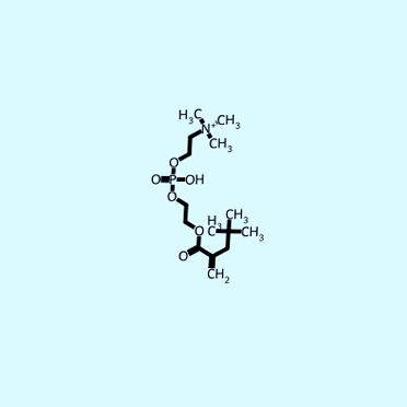 C=C(CC(C)(C)C)C(=O)OCCOP(=O)(O)OCC[N+](C)(C)C